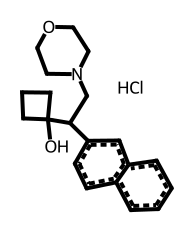 Cl.OC1(C(CN2CCOCC2)c2ccc3ccccc3c2)CCC1